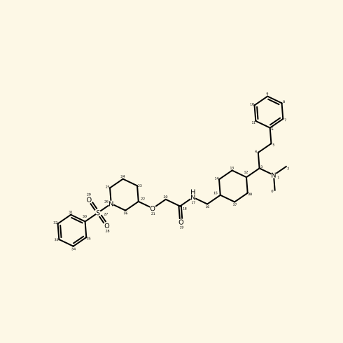 CN(C)C(CCc1ccccc1)C1CCC(CNC(=O)COC2CCCN(S(=O)(=O)c3ccccc3)C2)CC1